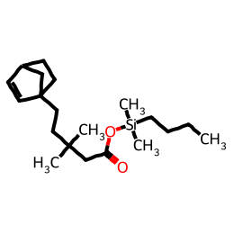 CCCC[Si](C)(C)OC(=O)CC(C)(C)CCC12C=CC(CC1)C2